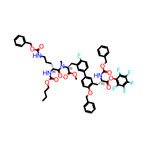 CCCCOC(=O)N[C@H](CCCNC(=O)OCc1ccccc1)C(=O)N(C)[C@@H](Cc1cc(-c2ccc(OCc3ccccc3)c(C[C@H](NC(=O)OCc3ccccc3)C(=O)Oc3c(F)c(F)c(F)c(F)c3F)c2)ccc1F)C(=O)OC